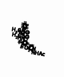 CC(=O)Nc1cc(Oc2ccc(NC(=O)c3c(C)n(C)n(-c4ccccc4)c3=O)c(F)c2F)ccn1